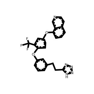 FC(F)(F)c1cc(Oc2cccc3ccncc23)ccc1Oc1cccc(CCc2nnn[nH]2)c1